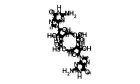 Nc1nc2c(ncn2[C@@H]2O[C@@H]3COP(=O)(S)N[C@H]4[C@@H](O)[C@H](n5cnc6c(=O)[nH]c(N)nc65)O[C@@H]4COP(=O)(O)N[C@H]3[C@H]2O)c(=O)[nH]1